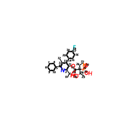 CCc1nc(-c2ccccc2)c(C)c(-c2ccc(F)cc2)c1OC(=O)C(CC)(C(C)O)[PH](=O)O